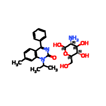 Cc1ccc2c(-c3ccccc3)nc(=O)n(C(C)C)c2c1.N[C@@H]1[C@@H](O)[C@H](O)[C@@H](CO)O[C@H]1O